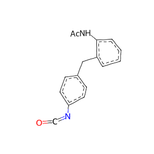 CC(=O)Nc1ccccc1Cc1ccc(N=C=O)cc1